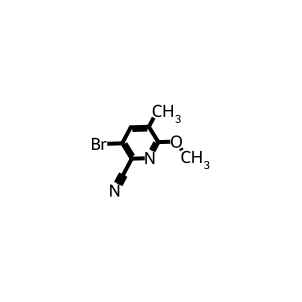 COc1nc(C#N)c(Br)cc1C